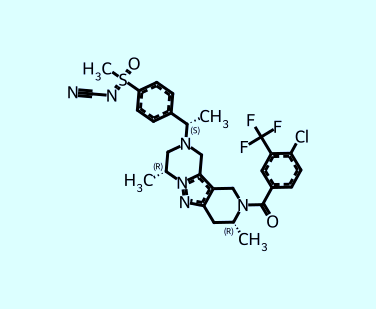 C[C@@H]1Cc2nn3c(c2CN1C(=O)c1ccc(Cl)c(C(F)(F)F)c1)CN([C@@H](C)c1ccc(S(C)(=O)=NC#N)cc1)C[C@H]3C